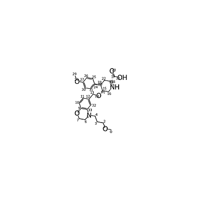 COCCCN1CCOc2ccc(CO[C@H]3CN[C@@H](C(=O)O)C[C@@H]3c3ccc(OC)cc3)cc21